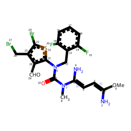 CO/C(N)=C/C=C(\N)N(C)C(=O)N(Cc1c(F)cccc1F)c1sc(Br)c(CBr)c1C=O